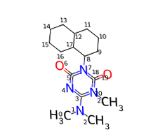 CN(C)c1nc(=O)n(C2CCCC3CCCCC32)c(=O)n1C